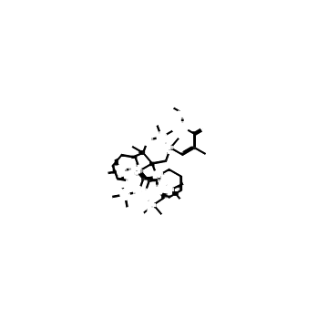 CCC[SiH2]OC(=O)C(C)=C[Si]1(C)CC([Si]2(C(O[Si](C)(C)C)O[Si](C)(C)C)CCCCO2)([Si]2(C(O[Si](C)(C)C)O[Si](C)(C)C)CCCCO2)C(C)(C)O[Si]1(C)C